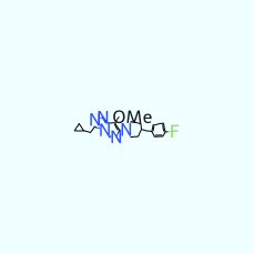 COc1c(N2CCC(c3ccc(F)cc3)CC2)ncn2c(CC3CC3)nnc12